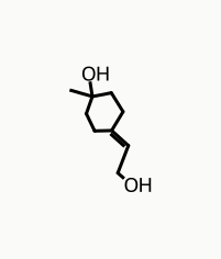 CC1(O)CCC(=CCO)CC1